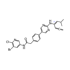 C=C=C/C(=C\C(C)C)Nc1ncc(-c2ccc(CC(=O)Nc3cnc(Cl)c(Br)c3)cc2)cn1